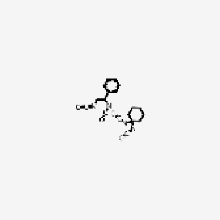 O=C=NC1(N=C=O)CCCCC1.O=C=NCC(N=C=O)c1ccccc1